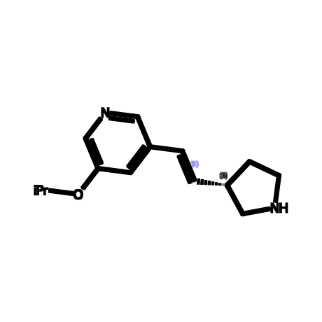 CC(C)Oc1cncc(/C=C/[C@@H]2CCNC2)c1